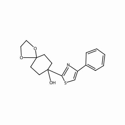 OC1(c2nc(-c3ccccc3)cs2)CCC2(CC1)OCCO2